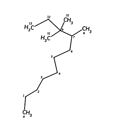 CCCCCCCC(C)C(C)(C)CC